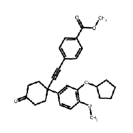 COC(=O)c1ccc(C#CC2(c3ccc(OC)c(OC4CCCC4)c3)CCC(=O)CC2)cc1